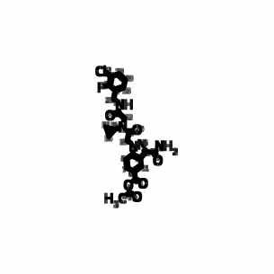 CC(=O)OC(=O)c1ccc2c(c1)c(C(N)=O)nn2CC(=O)N(CC(=O)NCc1cccc(Cl)c1F)C1CC1